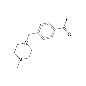 CN1CCN(Cc2ccc(C(=O)I)cc2)CC1